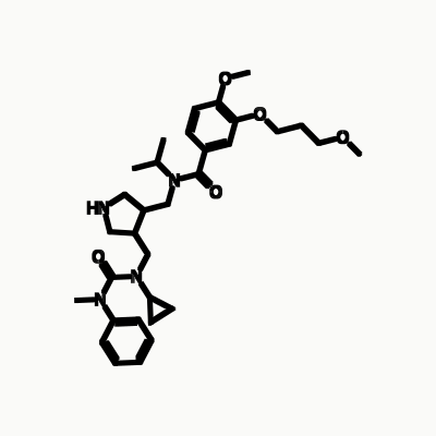 COCCCOc1cc(C(=O)N(CC2CNCC2CN(C(=O)N(C)c2ccccc2)C2CC2)C(C)C)ccc1OC